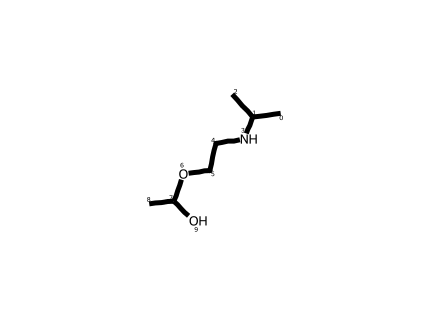 CC(C)NCCOC(C)O